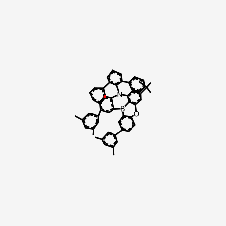 Cc1cc(C)cc(-c2ccc3c(c2)B2c4cc(-c5cc(C)cc(C)c5)ccc4N(c4c(-c5ccccc5)cccc4-c4ccccc4)c4cc(C(C)(C)C)cc(c42)O3)c1